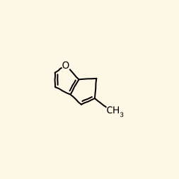 CC1=Cc2ccoc2C1